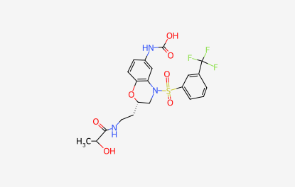 CC(O)C(=O)NCC[C@H]1CN(S(=O)(=O)c2cccc(C(F)(F)F)c2)c2cc(NC(=O)O)ccc2O1